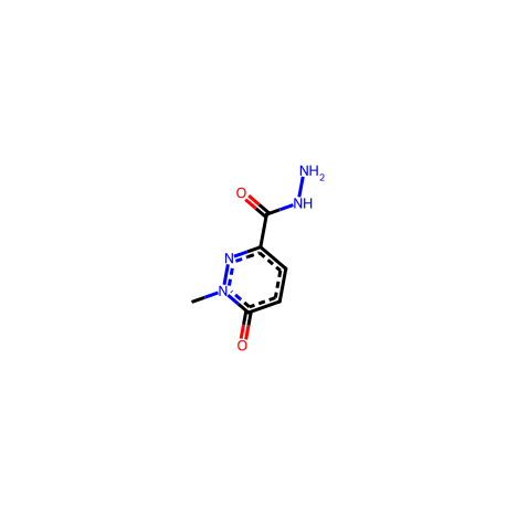 Cn1nc(C(=O)NN)ccc1=O